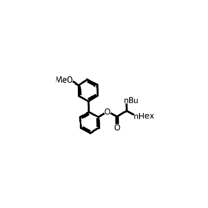 CCCCCCC(CCCC)C(=O)Oc1ccccc1-c1cccc(OC)c1